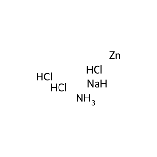 Cl.Cl.Cl.N.[NaH].[Zn]